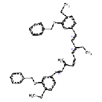 C=C(\C=C/C=C(/C=C/c1ccc(CC)c(OCc2ccccc2)c1)CC)/C=C/c1ccc(OC)c(OCc2ccccc2)c1